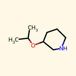 CC(C)OC1CCCNC1